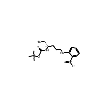 CC(C)(C)OC(=O)N[C@H](CO)CCCNc1ccccc1[N+](=O)[O-]